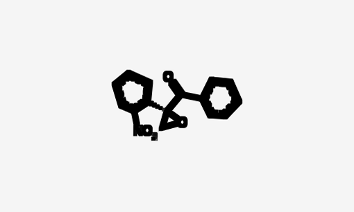 O=C(c1ccccc1)[C@]1(c2ccccc2[N+](=O)[O-])CO1